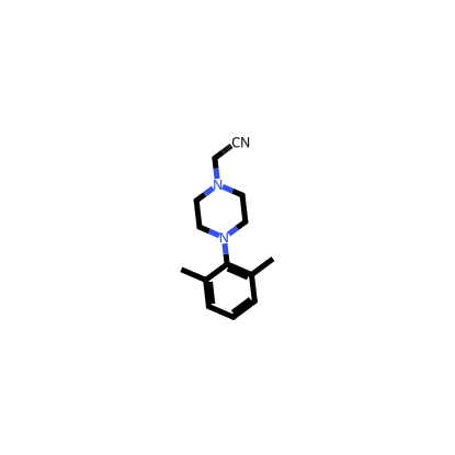 Cc1cccc(C)c1N1CCN(CC#N)CC1